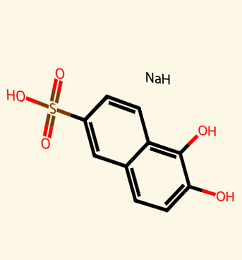 O=S(=O)(O)c1ccc2c(O)c(O)ccc2c1.[NaH]